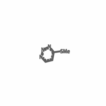 [CH2]Sc1ccnnn1